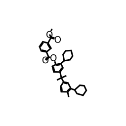 COC(=O)c1cccc(C(=O)Oc2ccc(C(C)(C)c3ccc(C)c(C4CCCCC4)c3)cc2C2CCCCC2)c1